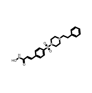 O=C(/C=C/c1ccc(S(=O)(=O)N2CCN(CCc3ccccc3)CC2)cc1)NO